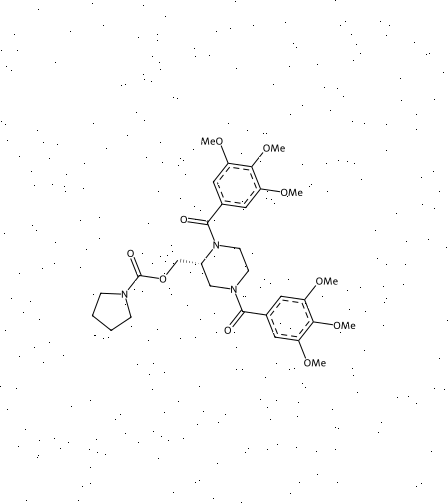 COc1cc(C(=O)N2CCN(C(=O)c3cc(OC)c(OC)c(OC)c3)[C@@H](COC(=O)N3CCCC3)C2)cc(OC)c1OC